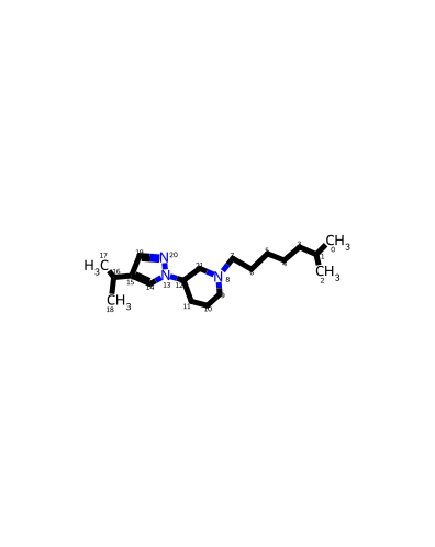 CC(C)CCCCCN1CCCC(n2cc(C(C)C)cn2)C1